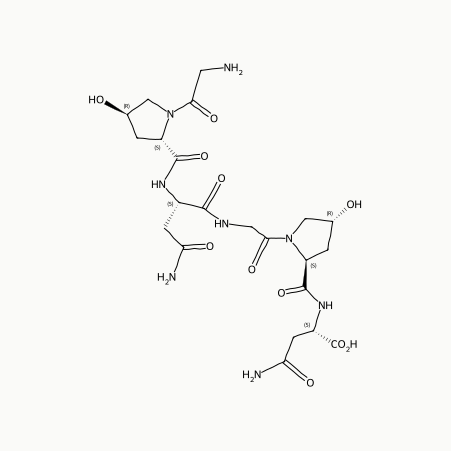 NCC(=O)N1C[C@H](O)C[C@H]1C(=O)N[C@@H](CC(N)=O)C(=O)NCC(=O)N1C[C@H](O)C[C@H]1C(=O)N[C@@H](CC(N)=O)C(=O)O